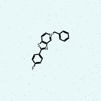 Fc1ccc(-c2nc3c[n+](Cc4ccccc4)ccc3s2)cc1